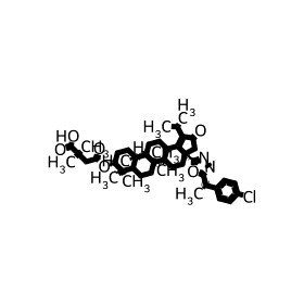 CC(C)C1=C2C3CC[C@@H]4[C@@]5(C)CC[C@H](OC(=O)CC(C)(C)C(=O)O)C(C)(C)C5CC[C@@]4(C)[C@]3(C)CC[C@@]2(c2nnc([C@H](C)c3ccc(Cl)cc3)o2)CC1=O